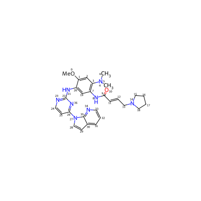 COc1cc(N(C)C)c(NC(=O)/C=C/CN2CCCC2)cc1Nc1nccc(-n2ccc3cccnc32)n1